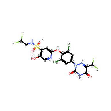 O=c1[nH]c(=O)n(-c2cc(Cl)c(Oc3cc(S(=O)(=O)NCC(F)F)c(O)cn3)c(Cl)c2)nc1C(F)F